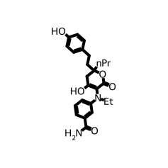 CCCC1(CCc2ccc(O)cc2)CC(O)=C(N(CC)c2cccc(C(N)=O)c2)C(=O)O1